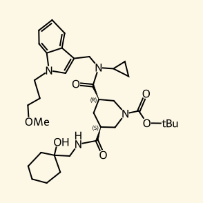 COCCCn1cc(CN(C(=O)[C@@H]2C[C@H](C(=O)NCC3(O)CCCCC3)CN(C(=O)OC(C)(C)C)C2)C2CC2)c2ccccc21